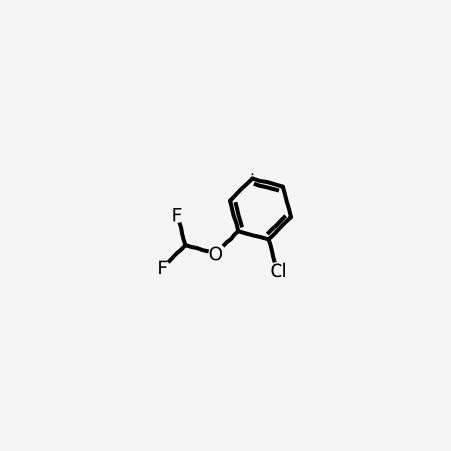 FC(F)Oc1c[c]ccc1Cl